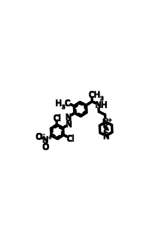 Cc1cc(C(C)NCC[N+]23CCN(CC2)CC3)ccc1N=Nc1c(Cl)cc([N+](=O)[O-])cc1Cl